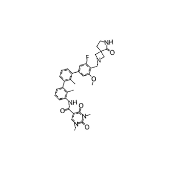 COc1cc(-c2cccc(-c3cccc(NC(=O)c4cn(C)c(=O)n(C)c4=O)c3C)c2C)cc(F)c1CN1CC2(CCNC2=O)C1